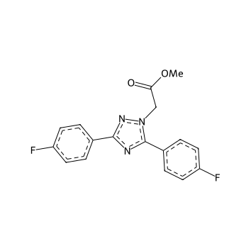 COC(=O)Cn1nc(-c2ccc(F)cc2)nc1-c1ccc(F)cc1